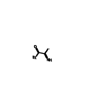 [CH2]C(=N)C(=O)CC